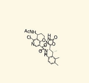 CC(=O)NC1CCOc2c(S(=O)(=O)N[C@H](c3n[nH]c(=O)o3)[C@H](C)c3c(F)ccc(C)c3C)cnc(Cl)c21